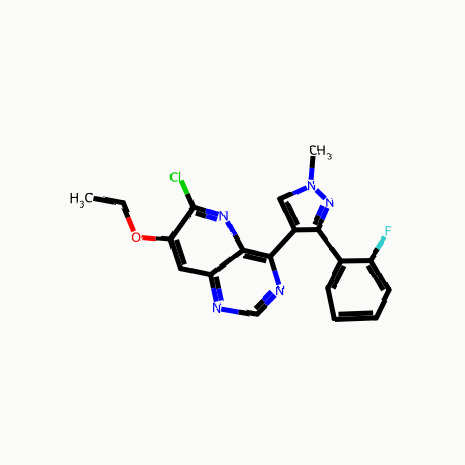 CCOc1cc2ncnc(-c3cn(C)nc3-c3ccccc3F)c2nc1Cl